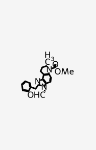 COC(=O)N1c2ccc3c(nc(Cc4ccccc4)n3CC=O)c2CC[C@@H]1C